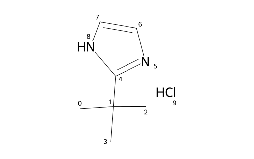 CC(C)(C)c1ncc[nH]1.Cl